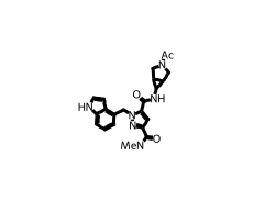 CNC(=O)c1cc(C(=O)NC2C3CN(C(C)=O)CC32)n(Cc2cccc3[nH]ccc23)n1